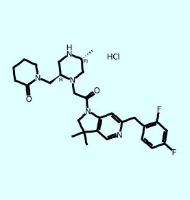 C[C@@H]1CN(CC(=O)N2CC(C)(C)c3cnc(Cc4ccc(F)cc4F)cc32)[C@@H](CN2CCCCC2=O)CN1.Cl